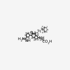 C[C@@H]1CCC[C@H](C)N1CCCCCn1c(=O)c(-c2cccc(C(=N)N)c2)cc2ccc(NCCC(=O)O)cc21